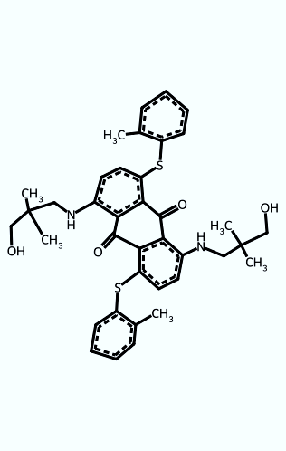 Cc1ccccc1Sc1ccc(NCC(C)(C)CO)c2c1C(=O)c1c(NCC(C)(C)CO)ccc(Sc3ccccc3C)c1C2=O